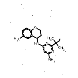 Cc1ccc2c(c1)C(Nc1nc(N)nc(C(C)(C)F)n1)CCO2